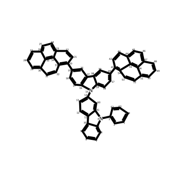 c1ccc(-n2c3ccccc3c3ccc(-n4c5ccc(-c6ccc7ccc8cccc9ccc6c7c89)cc5c5cc(-c6ccc7ccc8cccc9ccc6c7c89)ccc54)cc32)cc1